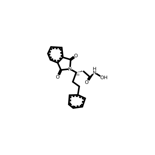 O=C(C[C@H](CCc1ccccc1)N1C(=O)c2ccccc2C1=O)NO